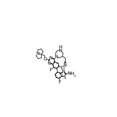 N#CCC1CNCCN(c2nc(OCC34CCCN3CCC4)nc3c(F)c(-c4ccc(F)c5sc(N)nc45)c(Cl)cc23)C1